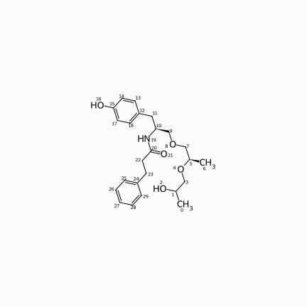 CC(O)CO[C@H](C)COC[C@H](Cc1ccc(O)cc1)NC(=O)CCc1ccccc1